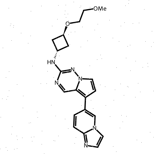 COCCO[C@H]1C[C@H](Nc2ncc3c(-c4ccc5nccn5c4)ccn3n2)C1